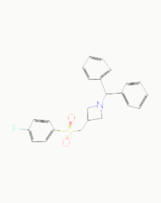 O=S(=O)(CC1CN(C(c2ccccc2)c2ccccc2)C1)c1ccc(F)cc1